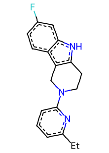 CCc1cccc(N2CCc3[nH]c4cc(F)ccc4c3C2)n1